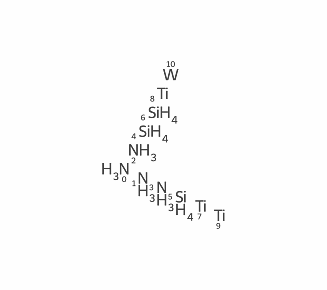 N.N.N.N.[SiH4].[SiH4].[SiH4].[Ti].[Ti].[Ti].[W]